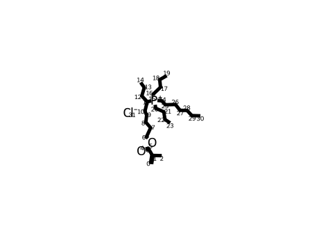 C=C(C)C(=O)OCCCCCC(CCC)[P+](CCCC)(CCCC)CCCCCCC.[Cl-]